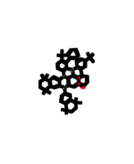 Cc1cc2c3c(c1)N(c1ccc(C(C)(C)C)cc1-c1ccccc1)c1c(ccc4c1-c1ccccc1C4(C)C)B3c1cc3c(cc1N2c1ccc2c(c1)C(C)(C)CCC2(C)C)C(C)(C)CCC3(C)C